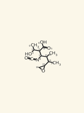 CC(O)C(C(=O)O)C(N=C=O)C(C)C(C)C1CO1